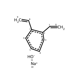 C=Cc1ccccc1C=C.[Na+].[OH-]